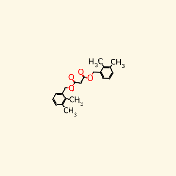 Cc1cccc(COC(=O)CC(=O)OCc2cccc(C)c2C)c1C